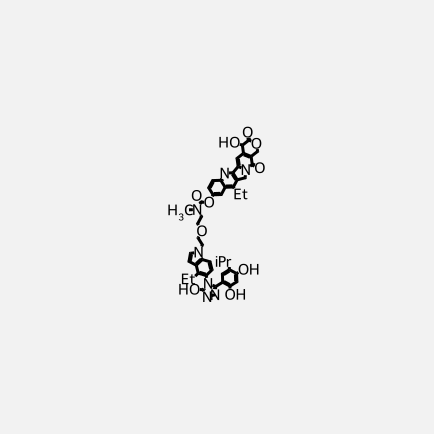 CCc1c2c(nc3ccc(OC(=O)N(C)CCOCCn4ccc5c(CC)c(-n6c(O)nnc6-c6cc(C(C)C)c(O)cc6O)ccc54)cc13)-c1cc3c(c(=O)n1C2)COC(=O)C3O